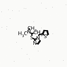 CC(Sc1nccn1Cc1cccs1)N(C)C